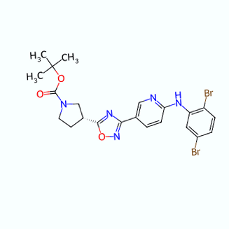 CC(C)(C)OC(=O)N1CC[C@@H](c2nc(-c3ccc(Nc4cc(Br)ccc4Br)nc3)no2)C1